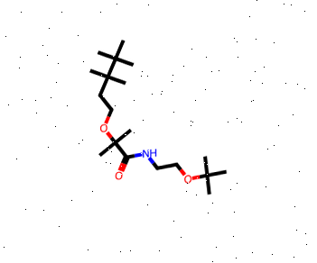 CC(C)(C)OCCNC(=O)C(C)(C)OCCC(C)(C)C(C)(C)C